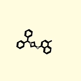 Cc1ccc(OC2CN(C(c3ccccc3)c3ccccc3)C2)c2ccccc12